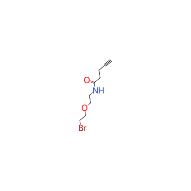 C#CCCC(=O)NCCOCCBr